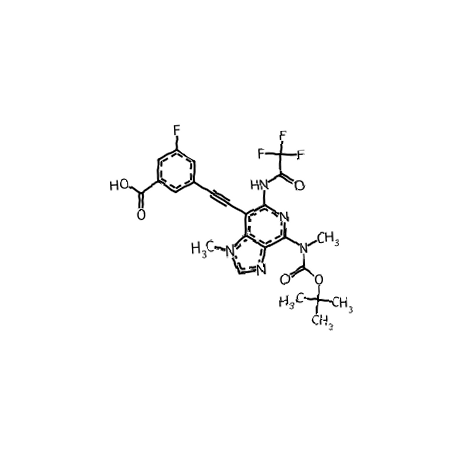 CN(C(=O)OC(C)(C)C)c1nc(NC(=O)C(F)(F)F)c(C#Cc2cc(F)cc(C(=O)O)c2)c2c1ncn2C